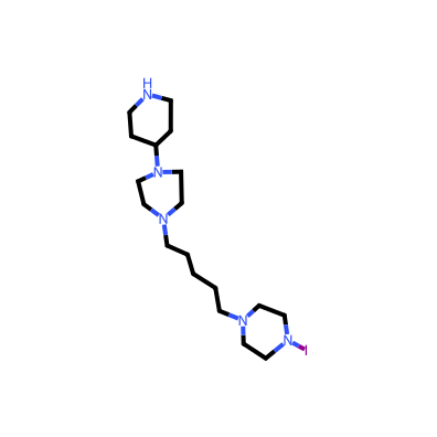 IN1CCN(CCCCCN2CCN(C3CCNCC3)CC2)CC1